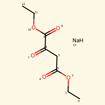 CCOC(=O)CC(=O)C(=O)OCC.[NaH]